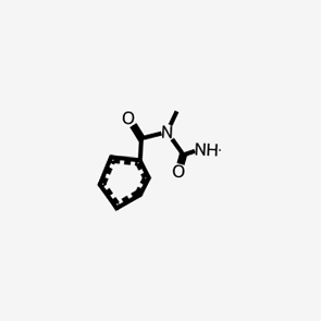 CN(C([NH])=O)C(=O)c1ccccc1